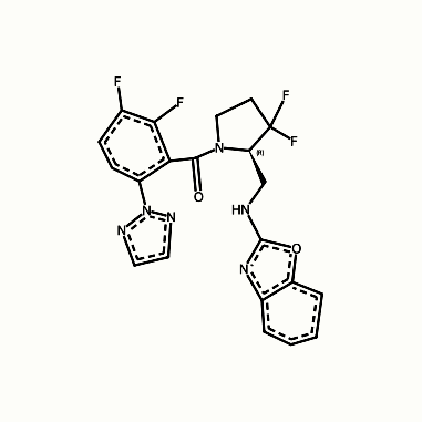 O=C(c1c(-n2nccn2)ccc(F)c1F)N1CCC(F)(F)[C@H]1CNc1nc2ccccc2o1